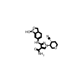 N#C[C@@H]1CCOC[C@H]1n1cc(C(N)=O)c(NC2=CCC3COB(O)C3=C2)n1